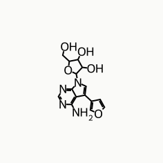 Nc1ncnc2c1c(-c1ccoc1)cn2C1OC(CO)C(O)C1O